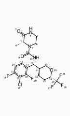 C[C@@H]1C(=O)NCCN1C(=O)N[C@@H](c1ccc(F)c(Cl)c1F)[C@@H]1CC[C@@H](C(F)(F)F)OC1